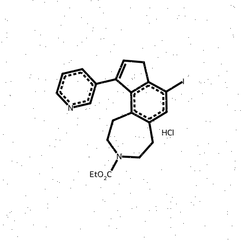 CCOC(=O)N1CCc2cc(I)c3c(c2CC1)C(c1cccnc1)=CC3.Cl